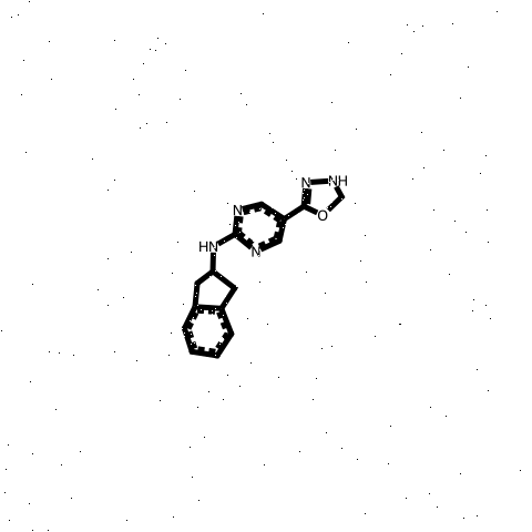 c1ccc2c(c1)CC(Nc1ncc(C3=NNCO3)cn1)C2